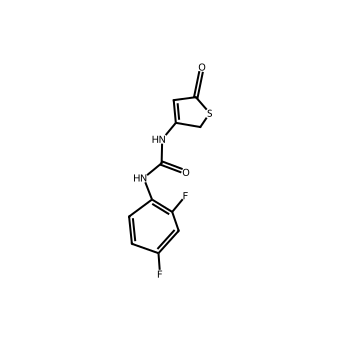 O=C(NC1=CC(=O)SC1)Nc1ccc(F)cc1F